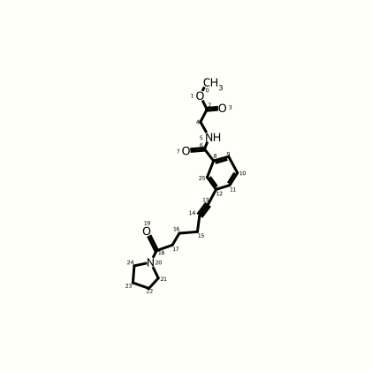 COC(=O)CNC(=O)c1cccc(C#CCCCC(=O)N2CCCC2)c1